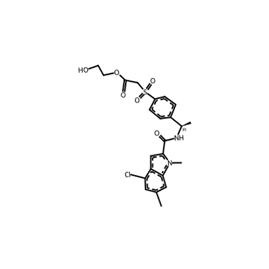 Cc1cc(Cl)c2cc(C(=O)N[C@H](C)c3ccc(S(=O)(=O)CC(=O)OCCO)cc3)n(C)c2c1